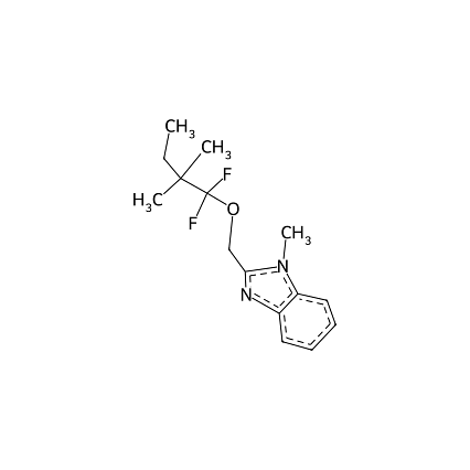 CCC(C)(C)C(F)(F)OCc1nc2ccccc2n1C